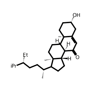 CC[C@H](CC[C@@H](C)C1CC[C@H]2[C@@H]3C(=O)C=C4C[C@@H](O)CC[C@]4(C)[C@H]3CC[C@]12C)C(C)C